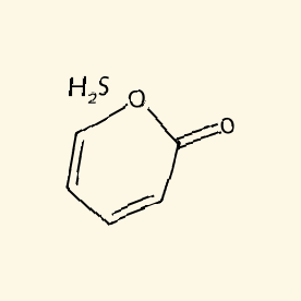 O=c1cccco1.S